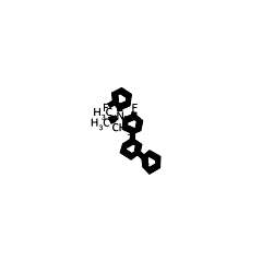 CC(C)(C)N(c1ccccc1F)c1cc(-c2cccc(-c3ccccc3)c2)ccc1F